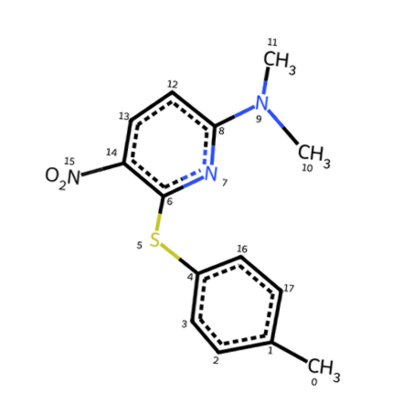 Cc1ccc(Sc2nc(N(C)C)ccc2[N+](=O)[O-])cc1